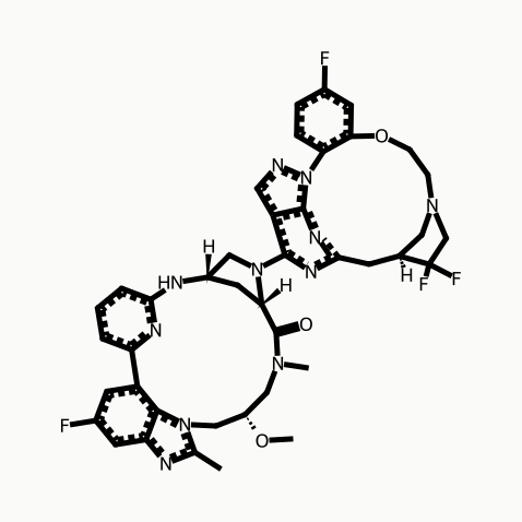 CO[C@H]1CN(C)C(=O)[C@@H]2C[C@@H](CN2c2nc3nc4c2cnn4-c2ccc(F)cc2OCCN2C[C@H](C3)C(F)(F)C2)Nc2cccc(n2)-c2cc(F)cc3nc(C)n(c23)C1